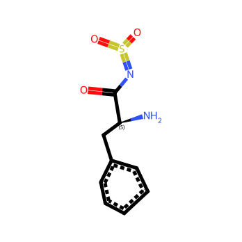 N[C@@H](Cc1ccccc1)C(=O)N=S(=O)=O